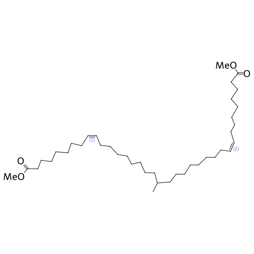 COC(=O)CCCCCCC/C=C\CCCCCCCCC(C)CCCCCCCC/C=C\CCCCCCCC(=O)OC